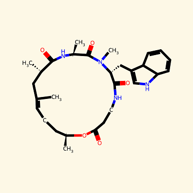 C/C1=C\CC[C@H](C)OC(=O)CCNC(=O)[C@@H](CC2=CNC3C=CC=CC23)N(C)C(=O)[C@H](C)NC(=O)[C@@H](C)C1